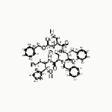 CC(C)CC(NC(=O)[C@@H](CC(C)C)N(Cc1ccccc1)C(=O)[C@H](Cc1ccccc1)NC(=O)C(CS)NC(=O)OCc1ccccc1)[C@H](O)c1nccs1